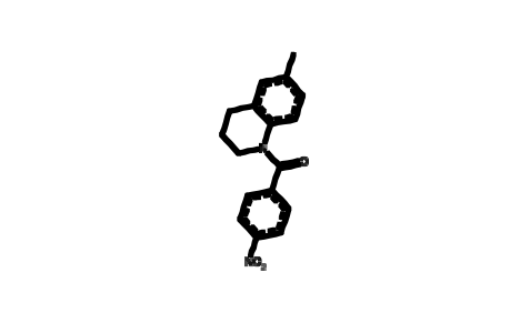 Cc1ccc2c(c1)CCCN2C(=O)c1ccc([N+](=O)[O-])cc1